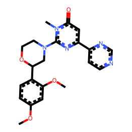 COc1ccc(C2CN(c3nc(-c4ccncn4)cc(=O)n3C)CCO2)c(OC)c1